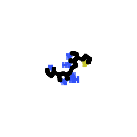 c1cncc(-c2cnc3[nH]nc(-c4cc5c(-c6cccs6)ccnc5[nH]4)c3c2)c1